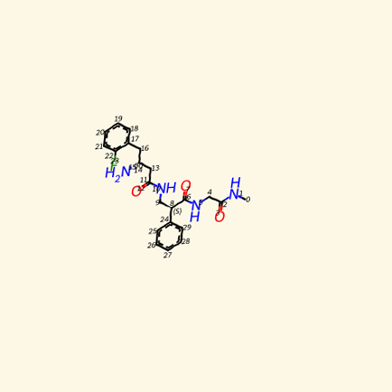 CNC(=O)CNC(=O)[C@H](CNC(=O)C[C@H](N)Cc1ccccc1F)c1ccccc1